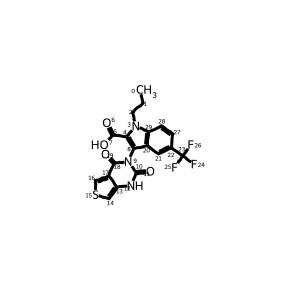 CCCn1c(C(=O)O)c(-n2c(=O)[nH]c3cscc3c2=O)c2cc(C(F)(F)F)ccc21